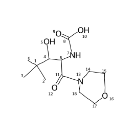 CC(C)(C)C(O)C(NC(=O)O)C(=O)N1CCOCC1